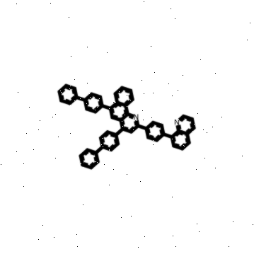 c1ccc(-c2ccc(-c3cc4c(-c5ccc(-c6ccccc6)cc5)cc(-c5ccc(-c6cccc7cccnc67)cc5)nc4c4ccccc34)cc2)cc1